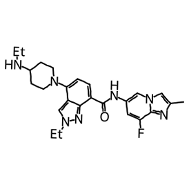 CCNC1CCN(c2ccc(C(=O)Nc3cc(F)c4nc(C)cn4c3)c3nn(CC)cc23)CC1